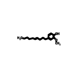 CCCCCC=CCCCc1ccc(O)c(OC)c1